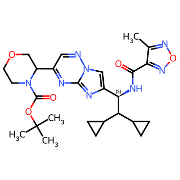 Cc1nonc1C(=O)N[C@H](c1cn2ncc(C3COCCN3C(=O)OC(C)(C)C)nc2n1)C(C1CC1)C1CC1